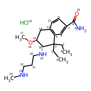 CCC1(CC)c2cc(C(N)=O)ccc2C[C@H](OC)[C@H]1NCCCNC.Cl